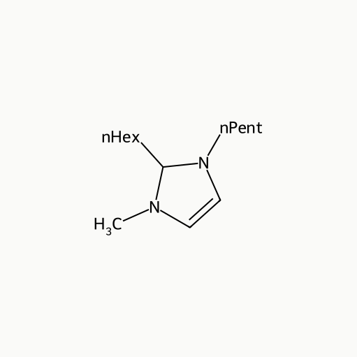 CCCCCCC1N(C)C=CN1CCCCC